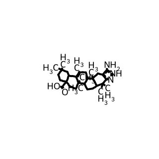 CC1=C2C3CC(C)(C)CCC3(C(=O)O)CCC2(C)C2(C)CCC3C(C)(C)c4n[nH]c(N)c4CC3(C)C2C1